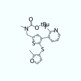 Cc1occc1Sc1sc(CN(C)C(=O)OC(C)(C)C)cc1-c1cccnc1F